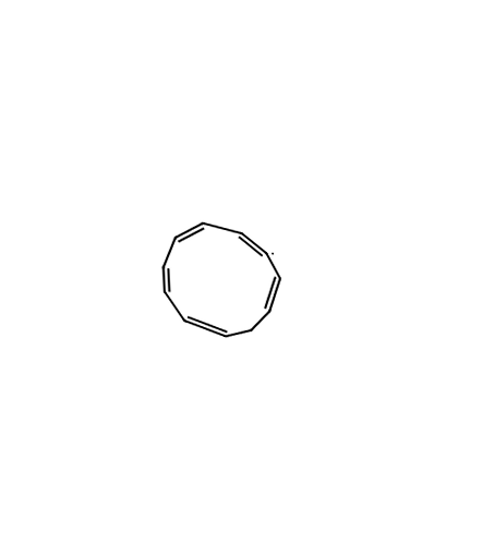 [C]1=CC=CC=CC=CCC=C1